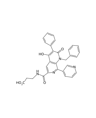 O=C(O)CCNC(=O)c1cc2c(O)c(-c3ccccc3)c(=O)n(Cc3ccccc3)c2c(-c2cccnc2)n1